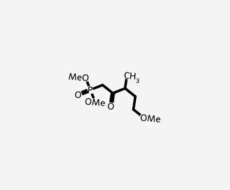 COCCC(C)C(=O)CP(=O)(OC)OC